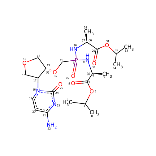 CC(C)OC(=O)[C@H](C)NP(=O)(CO[C@H]1COCC1n1ccc(N)nc1=O)N[C@@H](C)C(=O)OC(C)C